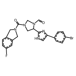 O=CN1CN(C(=O)N2Cc3ccc(F)cc3C2)CC1c1nc(-c2ccc(Br)cc2)c[nH]1